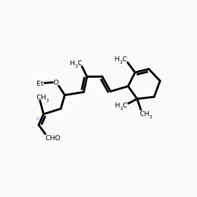 CCOC(C=C(C)C=CC1C(C)=CCCC1(C)C)C/C(C)=C\C=O